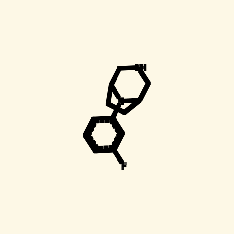 Fc1cccc(N2C3CCC2CNC3)c1